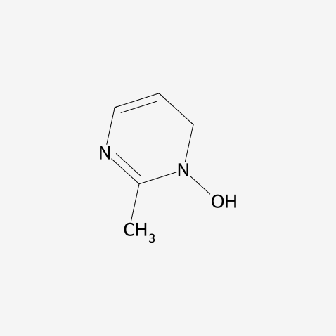 CC1=NC=CCN1O